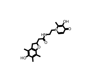 Cc1c(C)c2c(c(C)c1O)CC(CC(=O)NCCn1ccc(=O)c(O)c1C)O2